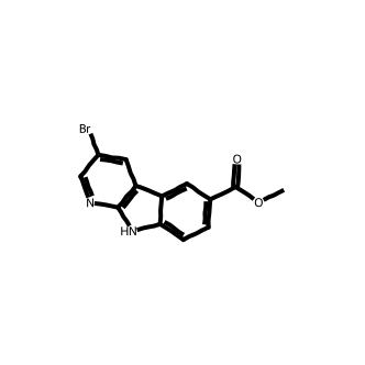 COC(=O)c1ccc2[nH]c3ncc(Br)cc3c2c1